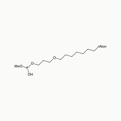 CCCCCCCCCCCCCCCCOCCCOP(O)OC